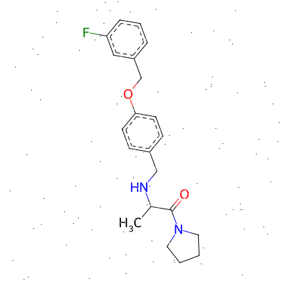 CC(NCc1ccc(OCc2cccc(F)c2)cc1)C(=O)N1CCCC1